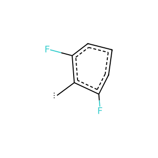 [C]c1c(F)cccc1F